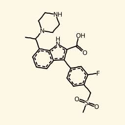 CC(c1cccc2c(-c3ccc(CS(C)(=O)=O)c(F)c3)c(C(=O)O)[nH]c12)N1CCNCC1